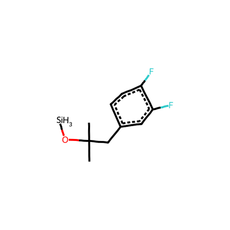 CC(C)(Cc1ccc(F)c(F)c1)O[SiH3]